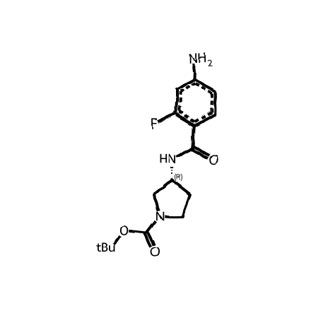 CC(C)(C)OC(=O)N1CC[C@@H](NC(=O)c2ccc(N)cc2F)C1